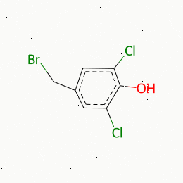 Oc1c(Cl)cc(CBr)cc1Cl